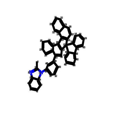 Cc1nc2ccccc2n1-c1cccc(-c2cc3c(c4ccccc24)-c2c(ccc4ccccc24)C32c3ccccc3-c3ccccc32)c1